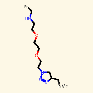 CNCC1CN(CCOCCOCCNCC(C)C)N=N1